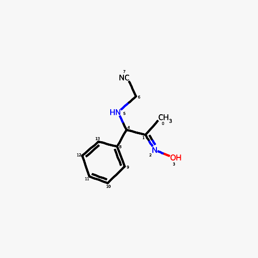 CC(=NO)C(NCC#N)c1ccccc1